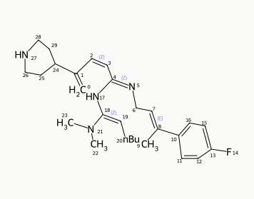 C=C(/C=C\C(=N\C/C=C(\C)c1ccc(F)cc1)N/C(=C/CCCC)N(C)C)C1CCNCC1